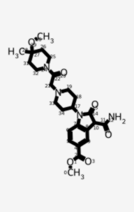 COC(=O)c1ccc2c(c1)C(C(N)=O)C(=O)N2C1CCN(CC(=O)N2CCC(C)(OC)CC2)CC1